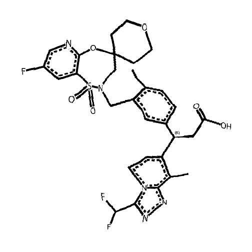 Cc1ccc([C@@H](CC(=O)O)c2ccn3c(C(F)F)nnc3c2C)cc1CN1CC2(CCOCC2)Oc2ncc(F)cc2S1(=O)=O